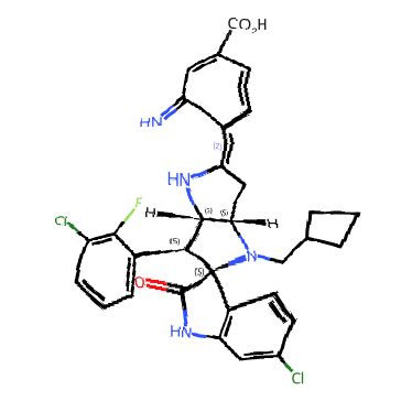 N=C1C=C(C(=O)O)C=C/C1=C1\C[C@H]2[C@@H](N1)[C@H](c1cccc(Cl)c1F)[C@]1(C(=O)Nc3cc(Cl)ccc31)N2CC1CCC1